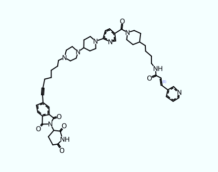 O=C(/C=C/c1cccnc1)NCCCCC1CCN(C(=O)c2ccc(N3CCC(N4CCN(CCCCCC#Cc5ccc6c(c5)C(=O)N(C5CCC(=O)NC5=O)C6=O)CC4)CC3)nc2)CC1